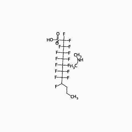 CCCC(F)C(F)(F)C(F)(F)C(F)(F)C(F)(F)C(F)(F)C(F)(F)C(F)(F)S(=O)(=O)O.CNC